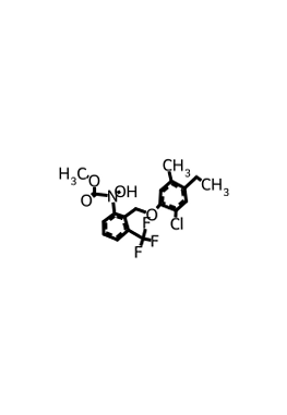 CCc1cc(Cl)c(OCc2c(N(O)C(=O)OC)cccc2C(F)(F)F)cc1C